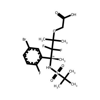 CC(C)(OCC(=O)O)C(F)(F)[C@](C)(NS(=O)(=O)C(C)(C)C)c1cc(Br)ccc1F